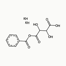 O=C(OC(=O)C(O)C(O)C(=O)O)c1ccccc1.[KH].[KH]